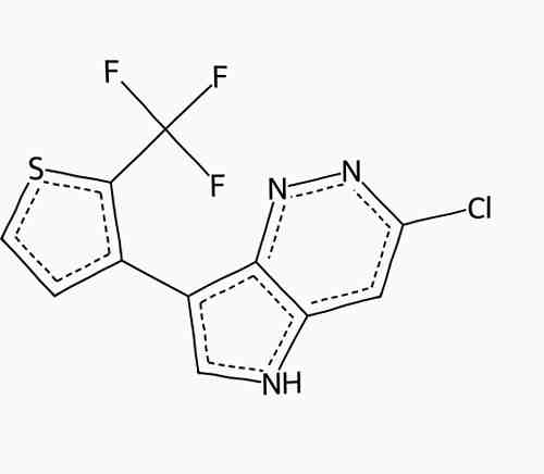 FC(F)(F)c1sccc1-c1c[nH]c2cc(Cl)nnc12